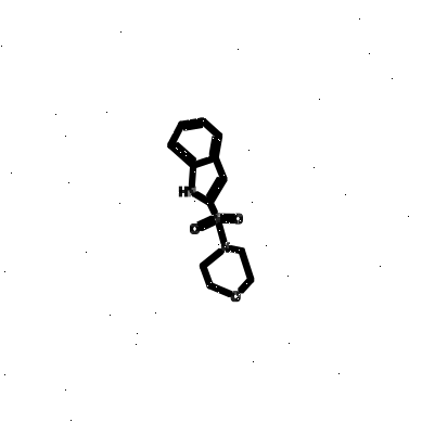 O=S(=O)(c1cc2ccccc2[nH]1)N1CCOCC1